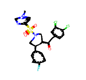 Cn1cnc(S(=O)(=O)N2CC(C(=O)c3ccc(Cl)c(Cl)c3)C(c3ccc(F)cc3)C2)c1